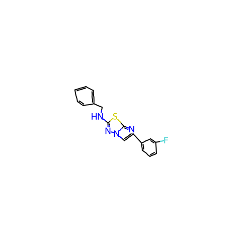 Fc1cccc(-c2cn3nc(NCc4ccccc4)sc3n2)c1